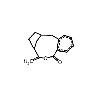 C=C1OC(=O)c2ccccc2CC2CCC1C2